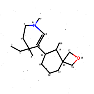 CCC1(C)CCN(C)C=C1C1CCCC2(COC2)C1C